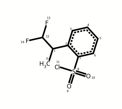 CC(c1ccccc1S(=O)(=O)Cl)C(F)F